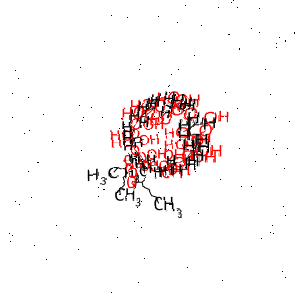 CCCCCC(CC)C1(COCC2(C(CC)CCCCC)CO2)CO1.OC[C@H]1O[C@@H]2O[C@H]3[C@H](O)[C@@H](O)[C@@H](O[C@H]4[C@H](O)[C@@H](O)[C@@H](O[C@H]5[C@H](O)[C@@H](O)[C@@H](O[C@H]6[C@H](O)[C@@H](O)[C@@H](O[C@H]7[C@H](O)[C@@H](O)[C@@H](O[C@H]8[C@H](O)[C@@H](O)[C@@H](O[C@H]1[C@H](O)[C@H]2O)O[C@@H]8CO)O[C@@H]7CO)O[C@@H]6CO)O[C@@H]5CO)O[C@@H]4CO)O[C@@H]3CO